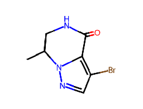 CC1CNC(=O)c2c(Br)cnn21